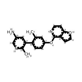 Cc1cc(Oc2nccc3occc23)ccc1-c1cc(N)cnc1C